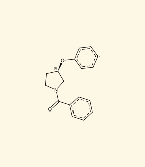 O=C(c1ccccc1)N1CC[C@@H](Oc2cc[c]cc2)C1